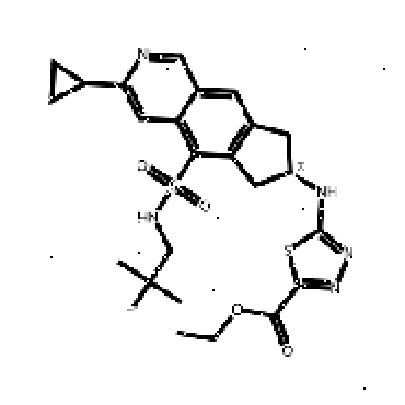 CCOC(=O)c1nnc(N[C@@H]2Cc3cc4cnc(C5CC5)cc4c(S(=O)(=O)NCC(C)(C)F)c3C2)s1